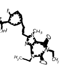 CCn1c(=O)c2c(nc(/C=C/c3ccc(F)c(C(=O)O)c3)n2C)n(CC)c1=O